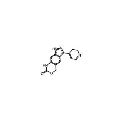 O=C1Nc2cc3[nH]nc(C4=CC=NCC4)c3cc2CO1